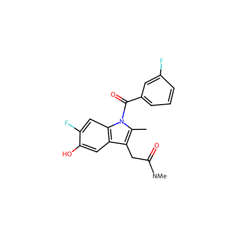 CNC(=O)Cc1c(C)n(C(=O)c2cccc(F)c2)c2cc(F)c(O)cc12